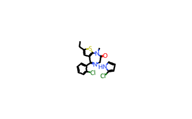 CCc1cc2c(s1)N(C)C(=O)CN=C2c1ccccc1Cl.Clc1ccc[nH]1